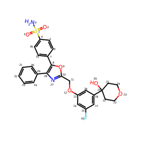 NS(=O)(=O)c1ccc(-c2oc(COc3cc(F)cc(C4(O)CCOCC4)c3)nc2-c2ccccc2)cc1